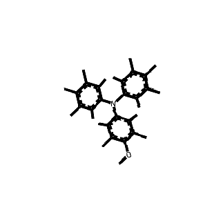 COc1c(C)c(C)c(N(c2c(C)c(C)c(C)c(C)c2C)c2c(C)c(C)c(C)c(C)c2C)c(C)c1C